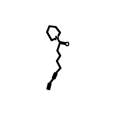 C#CC#CCCCCC(=O)N1CCCCC1